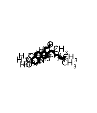 CC(C)=CCC[C@@H](C)[C@H]1C(=O)C[C@H]2[C@@H]3CC=C4C(C)(C)[C@H](O)CC[C@]4(C)[C@H]3CC[C@]12C